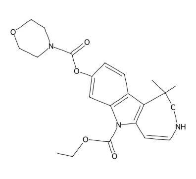 CCOC(=O)n1c2c(c3ccc(OC(=O)N4CCOCC4)cc31)C(C)(C)CNC=C2